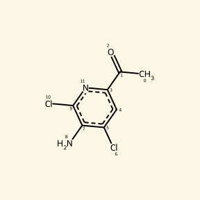 CC(=O)c1cc(Cl)c(N)c(Cl)n1